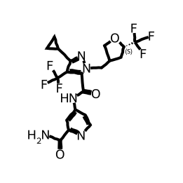 NC(=O)c1cc(NC(=O)c2c(C(F)(F)F)c(C3CC3)nn2CC2CO[C@H](C(F)(F)F)C2)ccn1